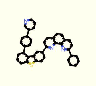 c1ccc(-c2ccc3ccc4ccc(-c5ccc6sc7cccc(-c8ccc(-c9cccnc9)cc8)c7c6c5)nc4c3n2)cc1